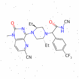 CC[C@H]1CN(C(C(=O)NC#N)c2ccc(C(F)(F)F)cc2)[C@H](CC)CN1c1nc(=O)n(C)c2ccc(C#N)nc12